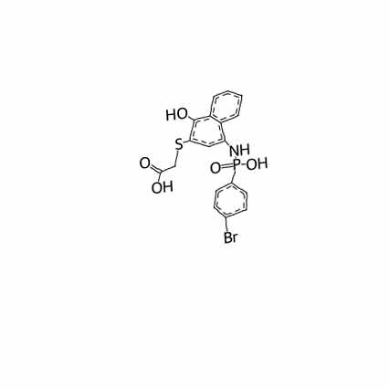 O=C(O)CSc1cc(NP(=O)(O)c2ccc(Br)cc2)c2ccccc2c1O